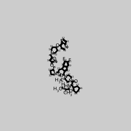 CN[C@@H](C)C(=O)NC(C(=O)N1CCN(C(=O)C2=Cc3cc(F)c(F)cc3C2CC(=O)N2CCC[C@H]2COc2cc(CN3CCC(Oc4ccnc5ccsc45)CC3)on2)[C@@H](C)C1)C1CCCCC1